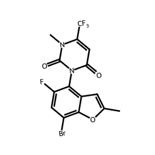 Cc1cc2c(-n3c(=O)cc(C(F)(F)F)n(C)c3=O)c(F)cc(Br)c2o1